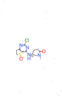 CN1C[C@@H](Nc2nc(Cl)nc3c2[S+]([O-])CC3)CCC1=O